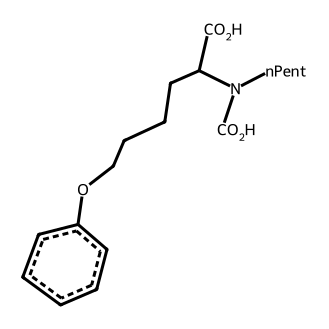 CCCCCN(C(=O)O)C(CCCCOc1ccccc1)C(=O)O